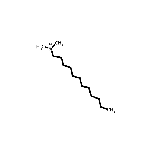 CCCCCCCCCCC[CH2][SnH]([CH3])[CH3]